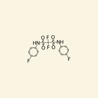 O=S(=O)(Nc1ccc(F)cc1)C(F)(F)S(=O)(=O)Nc1ccc(F)cc1